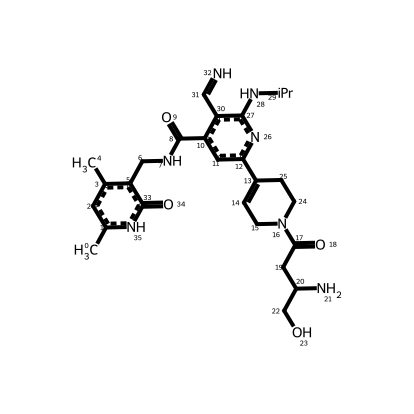 Cc1cc(C)c(CNC(=O)c2cc(C3=CCN(C(=O)CC(N)CO)CC3)nc(NC(C)C)c2C=N)c(=O)[nH]1